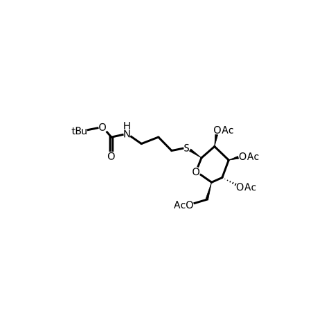 CC(=O)OC[C@H]1O[C@@H](SCCCNC(=O)OC(C)(C)C)[C@@H](OC(C)=O)[C@@H](OC(C)=O)[C@@H]1OC(C)=O